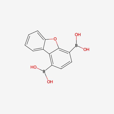 OB(O)c1ccc(B(O)O)c2c1oc1ccccc12